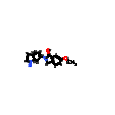 COc1ccc2c(c1)C(=O)N(c1ccc3cc[nH]c3c1)C2